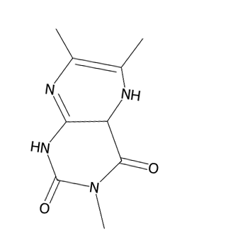 CC1=C(C)NC2C(=O)N(C)C(=O)NC2=N1